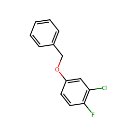 Fc1ccc(OCc2ccccc2)cc1Cl